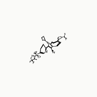 CC(NS(=O)(=O)c1ccc(-c2c(C#N)c3ccc(OC(F)F)cc3n2C2CCC2)nc1)C(F)(F)F